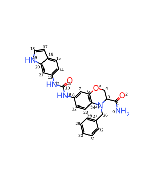 NC(=O)C1COc2cc(NC(=O)Nc3ccc4cc[nH]c4c3)ccc2N1Cc1ccccc1